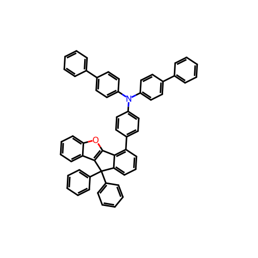 c1ccc(-c2ccc(N(c3ccc(-c4ccccc4)cc3)c3ccc(-c4cccc5c4-c4oc6ccccc6c4C5(c4ccccc4)c4ccccc4)cc3)cc2)cc1